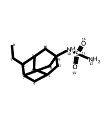 CCC1C2CC3CC1CC(NS(N)(=O)=O)(C3)C2